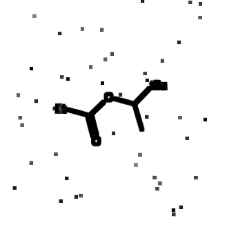 C[CH]C(=O)OC(C)C(C)(C)C